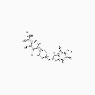 CCn1c(=O)[nH]c2cc(CN3CCN(c4ccc(C(=O)NC)c(F)c4F)CC3)sc2c1=O